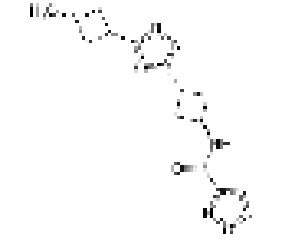 CN1CC(c2nnc([C@H]3C[C@H](NC(=O)c4ccon4)C3)o2)C1